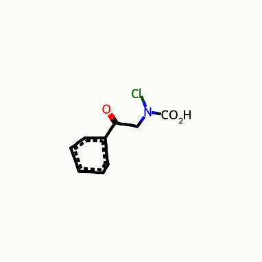 O=C(CN(Cl)C(=O)O)c1ccccc1